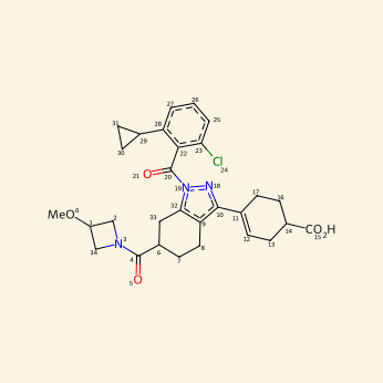 COC1CN(C(=O)C2CCc3c(C4=CCC(C(=O)O)CC4)nn(C(=O)c4c(Cl)cccc4C4CC4)c3C2)C1